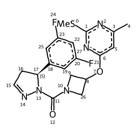 CSc1nc(C)cc(OC2CN(C(=O)N3N=CC[C@H]3c3cc(F)cc(F)c3)C2)n1